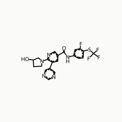 O=C(Nc1ccc(SC(F)(F)F)c(F)c1)c1cnc(N2CCC(O)C2)c(-c2cncnc2)c1